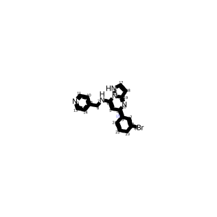 BrC1=C/C(=C2/C=C(NCc3ccncc3)N3NC=CC3=N2)C=CC1